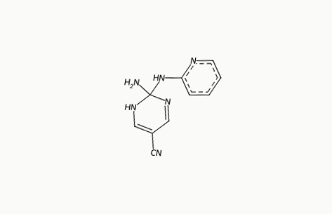 N#CC1=CNC(N)(Nc2ccccn2)N=C1